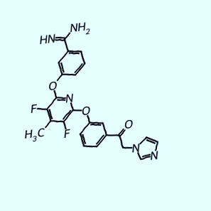 Cc1c(F)c(Oc2cccc(C(=N)N)c2)nc(Oc2cccc(C(=O)Cn3ccnc3)c2)c1F